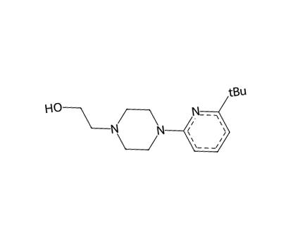 CC(C)(C)c1cccc(N2CCN(CCO)CC2)n1